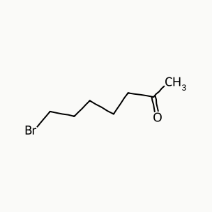 CC(=O)CCCCCBr